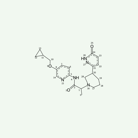 CC(C(=O)Nc1ccc(OCC2CC2)cn1)N1CCCC(c2ccc(=O)[nH]n2)C1